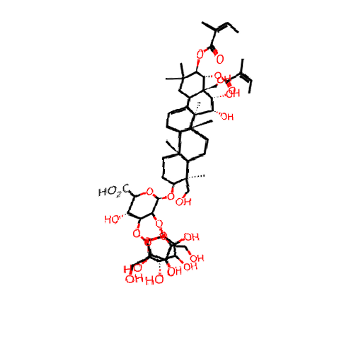 C/C=C(/C)C(=O)O[C@H]1[C@H](OC(=O)/C(C)=C\C)[C@@]2(CO)C(CC1(C)C)C1=CCC3[C@@]4(C)CC[C@H](O[C@@H]5OC(C(=O)O)[C@@H](O)C(OC6OC(CO)C(O)C6O)C5O[C@@H]5OC(CO)[C@@H](O)C(O)C5O)[C@](C)(CO)C4CC[C@@]3(C)[C@]1(C)[C@@H](O)[C@H]2O